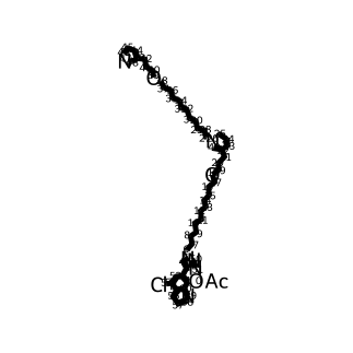 CC(=O)Oc1c(-c2cn(CCCCCCCCCCCCOCCCc3ccc[n+](CCCCCCCCCCCCOCCCc4cccnc4)c3)nn2)cc(Cl)c2cccnc12